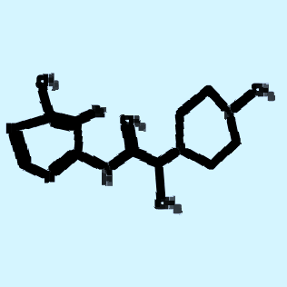 C=C(Nc1ncnc(C)c1Br)C(C)N1CCN(C)CC1